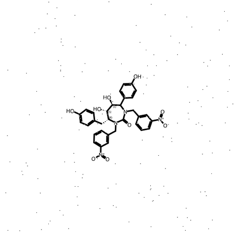 O=C1N(Cc2cccc([N+](=O)[O-])c2)C(c2ccc(O)cc2)[C@H](O)[C@@H](O)[C@@H](Cc2ccc(O)cc2)N1Cc1cccc([N+](=O)[O-])c1